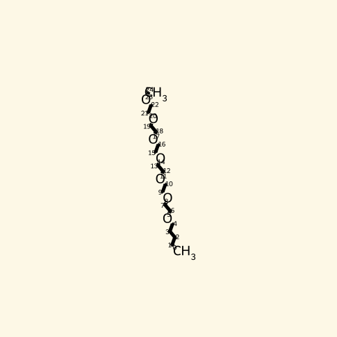 CCCCCOCCOCCOCCOCCOCCOCCOC